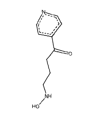 O=C(CCCNO)c1ccncc1